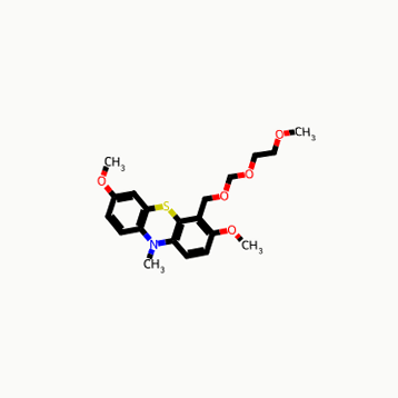 COCCOCOCc1c(OC)ccc2c1Sc1[c]c(OC)ccc1N2C